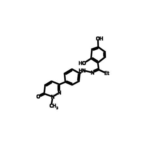 CC/C(=N/Nc1ccc(-c2ccc(=O)n(C)n2)cc1)c1ccc(O)cc1O